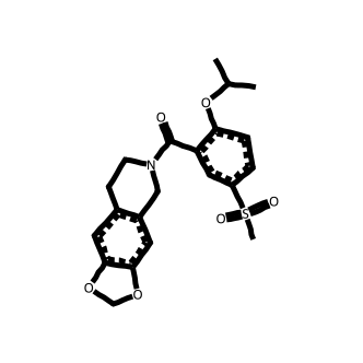 CC(C)Oc1ccc(S(C)(=O)=O)cc1C(=O)N1CCc2cc3c(cc2C1)OCO3